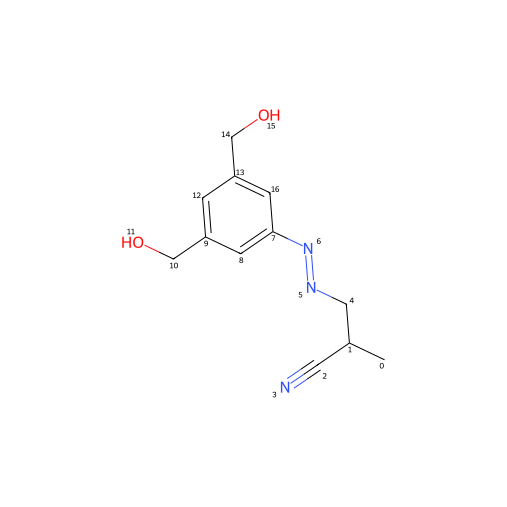 CC(C#N)CN=Nc1cc(CO)cc(CO)c1